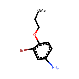 COCCOc1ccc(N)cc1Br